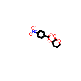 O=C(OC1CCCOC1=O)c1ccc([N+](=O)[O-])cc1